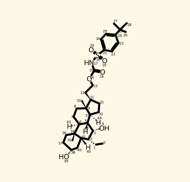 CC[C@H]1[C@@H](O)[C@@H]2[C@H](CC[C@]3(C)[C@@H](CCOC(=O)NS(=O)(=O)c4ccc(C(C)(C)C)cc4)CC[C@@H]23)[C@@]2(C)CC[C@@H](O)C[C@@H]12